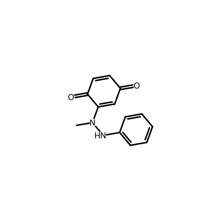 CN(Nc1ccccc1)C1=CC(=O)C=CC1=O